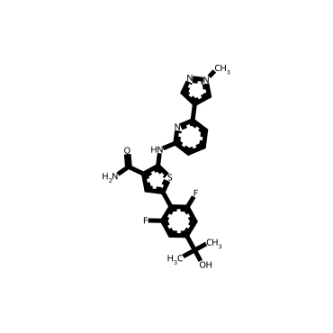 Cn1cc(-c2cccc(Nc3sc(-c4c(F)cc(C(C)(C)O)cc4F)cc3C(N)=O)n2)cn1